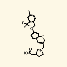 Cc1ccc(COc2ccc3c(c2)OCC(CN2CCC(CC(=O)O)C2)=C3)c(C(F)(F)F)c1